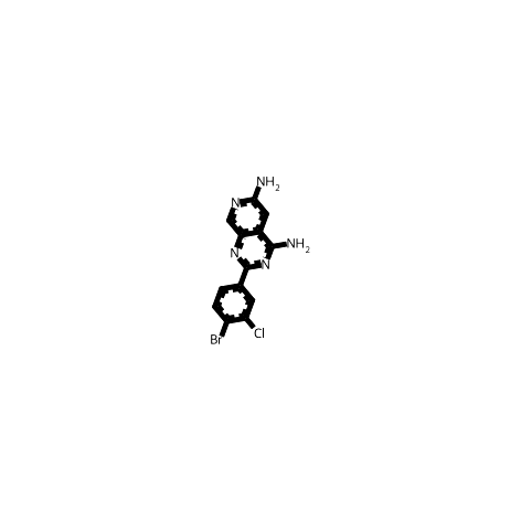 Nc1cc2c(N)nc(-c3ccc(Br)c(Cl)c3)nc2cn1